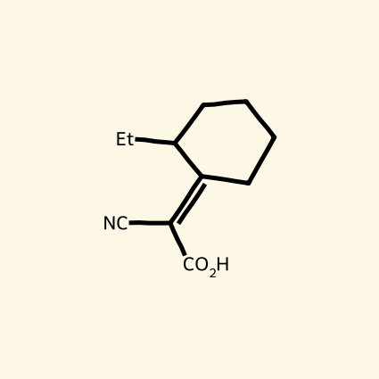 CCC1CCCC/C1=C(/C#N)C(=O)O